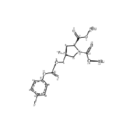 CCCCOC(=O)[C@@H]1C[C@](F)(COC(=S)Oc2ccc(F)cc2)CN1C(=O)OC(C)(C)C